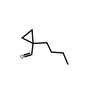 CCCCC1(C=O)CC1